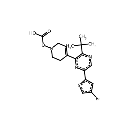 CC(C)(C)c1ncc(-c2cc(Br)cs2)nc1C1=CCN(OC(=O)O)CC1